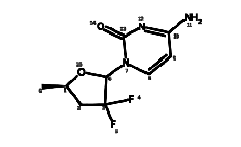 C[C@@H]1CC(F)(F)C(n2ccc(N)nc2=O)O1